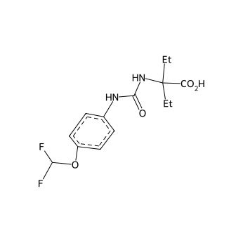 CCC(CC)(NC(=O)Nc1ccc(OC(F)F)cc1)C(=O)O